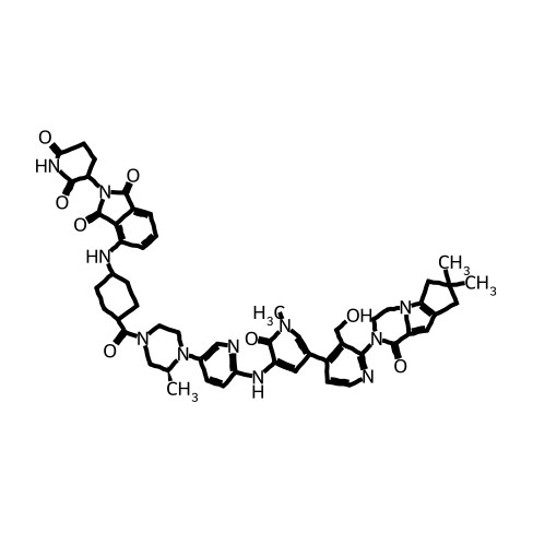 C[C@H]1CN(C(=O)C2CCC(Nc3cccc4c3C(=O)N(C3CCC(=O)NC3=O)C4=O)CC2)CCN1c1ccc(Nc2cc(-c3ccnc(N4CCn5c(cc6c5CC(C)(C)C6)C4=O)c3CO)cn(C)c2=O)nc1